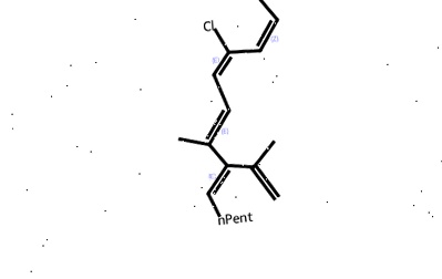 C=C(C)C(=C\CCCCC)/C(C)=C/C=C(Cl)\C=C/C